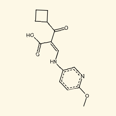 COc1ccc(N/C=C(\C(=O)O)C(=O)C2CCC2)cn1